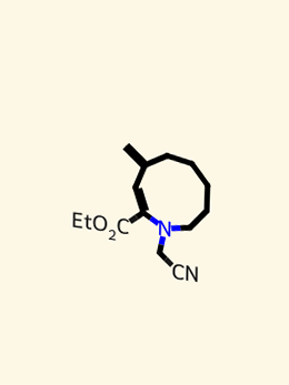 C=C1/C=C(/C(=O)OCC)N(CC#N)CCCCC1